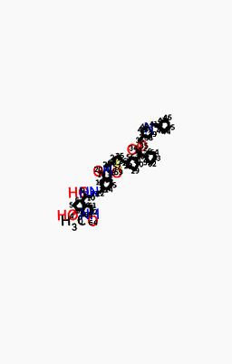 CNc1c(O)ccc([C@@H](O)CNCc2ccc3c(c2)C(=O)N(Cc2ccc(-c4cccc(C(C(=O)OCC5CCN(Cc6ccccc6)CC5)c5ccccc5)c4)s2)C3=O)c1/C=C\C=O